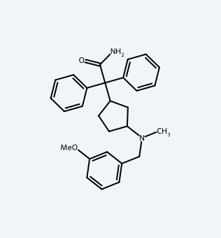 COc1cccc(CN(C)C2CCC(C(C(N)=O)(c3ccccc3)c3ccccc3)C2)c1